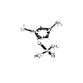 CC[n+]1ccn(C)c1.CS(C)(=O)=O